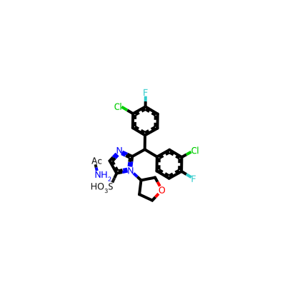 CC(N)=O.O=S(=O)(O)c1cnc(C(c2ccc(F)c(Cl)c2)c2ccc(F)c(Cl)c2)n1C1CCOC1